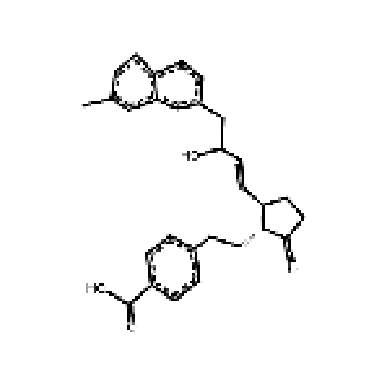 Cc1ccc2ccc(CC(O)/C=C/[C@H]3CCC(=O)[C@@H]3CCc3ccc(C(=O)O)cc3)cc2c1